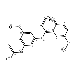 C=c1ccc(OC)c/c1=C(/C=C\C)Oc1cc(NC(C)=O)cc(OC)c1